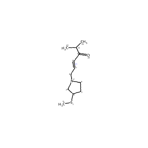 CSC1CCN(C/C=C/C(=O)C(C)C)C1